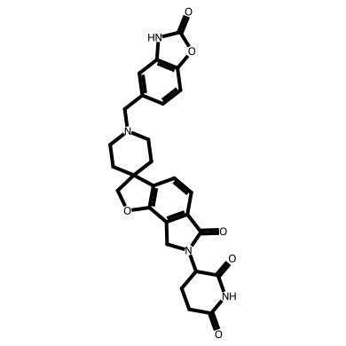 O=C1CCC(N2Cc3c(ccc4c3OCC43CCN(Cc4ccc5oc(=O)[nH]c5c4)CC3)C2=O)C(=O)N1